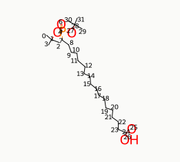 CC(C)(C)OP(=O)(CCCCCCCCCCCCCCCCCC(=O)O)OC(C)(C)C